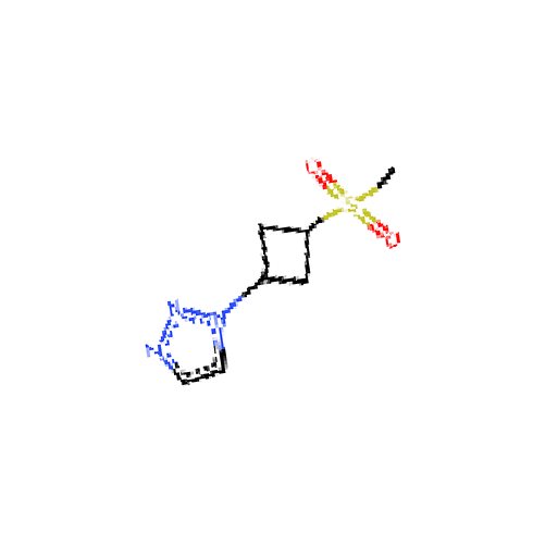 CS(=O)(=O)C1CC(n2ccnn2)C1